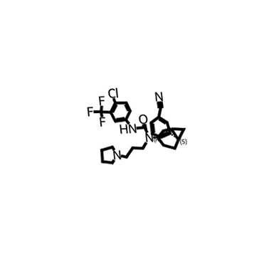 N#Cc1cccc([C@]23CC[C@@H](N(CCCN4CCCC4)C(=O)Nc4ccc(Cl)c(C(F)(F)F)c4)CC2C3)c1